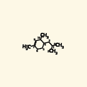 C[C](C)CC1CCC(C)=CC1C